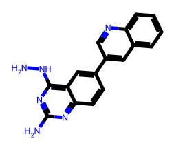 NNc1nc(N)nc2ccc(-c3cnc4ccccc4c3)cc12